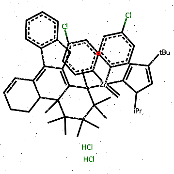 Cl.Cl.[CH2]=[Zr]([C]1=CC(C(C)(C)C)=CC1C(C)C)([c]1ccc(Cl)cc1)([c]1ccc(Cl)cc1)[C]1(C)C2=C3Cc4ccccc4C3=C3C=CCCC3C2(C)C(C)(C)C(C)(C)C1(C)C